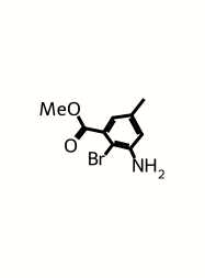 COC(=O)c1cc(C)cc(N)c1Br